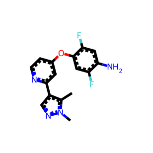 Cc1c(-c2cc(Oc3cc(F)c(N)cc3F)ccn2)cnn1C